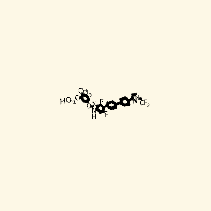 Cc1ccc(Oc2nc3c(F)c(-c4ccc(-c5ccc(-c6ccn(CC(F)(F)F)n6)cc5)cc4)c(F)cc3[nH]2)cc1C(=O)O